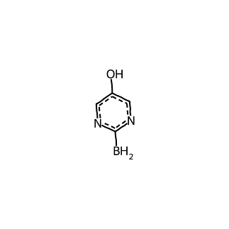 Bc1ncc(O)cn1